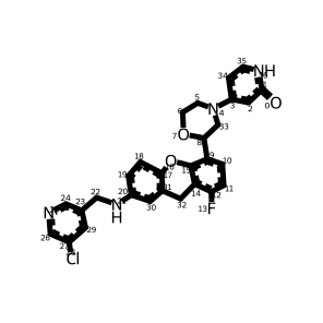 O=c1cc(N2CCOC(c3ccc(F)c4c3Oc3ccc(NCc5cncc(Cl)c5)cc3C4)C2)cc[nH]1